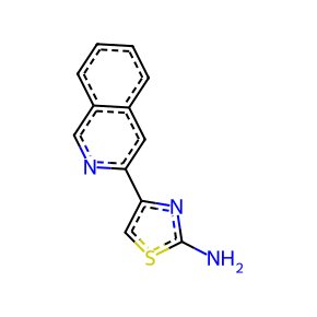 Nc1nc(-c2cc3ccccc3cn2)cs1